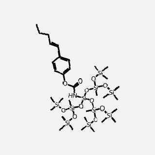 CCCC=Cc1ccc(OC(=O)N[Si](O[Si](C)(O[Si](C)(C)C)O[Si](C)(C)C)(O[Si](C)(O[Si](C)(C)C)O[Si](C)(C)C)O[Si](C)(O[Si](C)(C)C)O[Si](C)(C)C)cc1